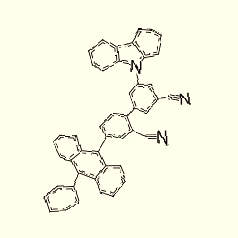 N#Cc1cc(-c2ccc(-c3c4ccccc4c(-c4ccccc4)c4ccccc34)cc2C#N)cc(-n2c3ccccc3c3ccccc32)c1